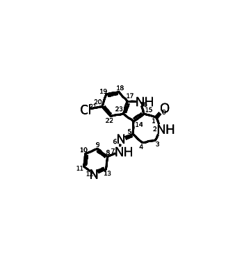 O=C1NCCC(=NNc2cccnc2)c2c1[nH]c1ccc(Cl)cc21